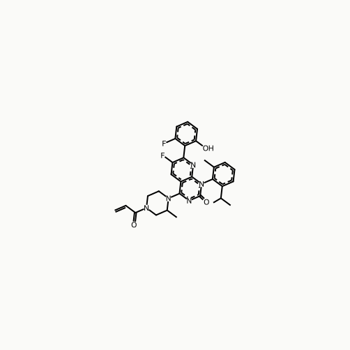 C=CC(=O)N1CCN(c2nc(=O)n(-c3c(C)cccc3C(C)C)c3nc(-c4c(O)cccc4F)c(F)cc23)C(C)C1